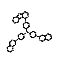 c1cnc2cc(-c3ccc(N(c4ccc(-c5cc6ncccc6cn5)cc4)c4ccc(-c5ncnc6sc7ccccc7c56)cc4)cc3)ncc2c1